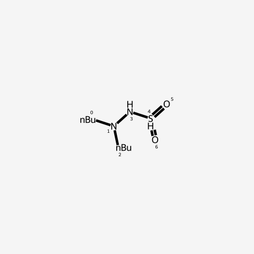 CCCCN(CCCC)N[SH](=O)=O